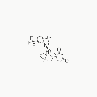 CC(C)(C)c1ccc(C(F)(F)F)cc1[N+]#CCC1C([C@@]2(C)CCC(=O)CC2=O)CC[C@]2(C)CCC[C@@H]12